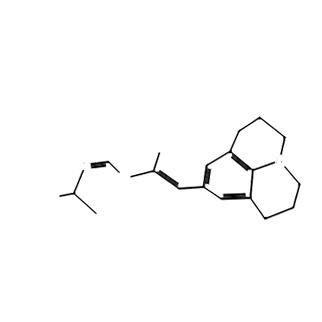 CCCCCC(C)/N=C\O/C(C=O)=C/c1cc2c3c(c1)CCCN3CCC2